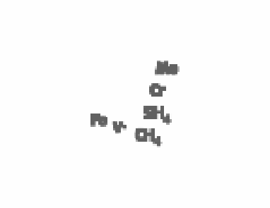 C.[Cr].[Fe].[Mo].[SiH4].[V]